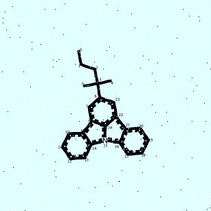 CCCC(C)(C)c1cc2c3ccccc3n3c4ccccc4c(c1)c23